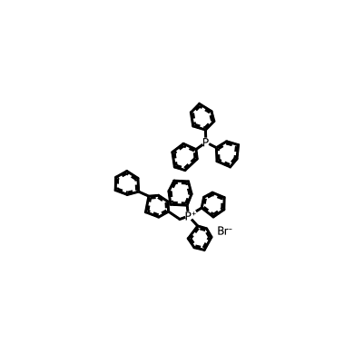 [Br-].c1ccc(-c2ccc(C[P+](c3ccccc3)(c3ccccc3)c3ccccc3)cc2)cc1.c1ccc(P(c2ccccc2)c2ccccc2)cc1